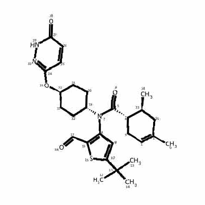 CC1=CC[C@H](C(=O)N(c2cc(C(C)(C)C)sc2C=O)[C@H]2CC[C@H](Oc3ccc(=O)[nH]n3)CC2)[C@@H](C)C1